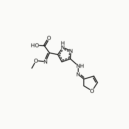 CON=C(C(=O)O)c1cc(NN=C2C=COC2)n[nH]1